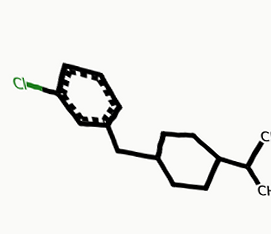 CC(C)C1CCC(Cc2cccc(Cl)c2)CC1